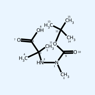 CN(NC(C)(C)C(=O)O)C(=O)OC(C)(C)C